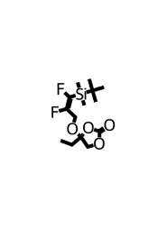 CCC1(OCC(F)=C(F)[Si](C)(C)C(C)(C)C)COC(=O)O1